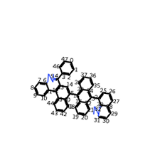 c1ccc(-c2nc3ccccc3c3c2cc(-c2c4ccccc4c(-c4cccc5cccnc45)c4ccccc24)c2ccccc23)cc1